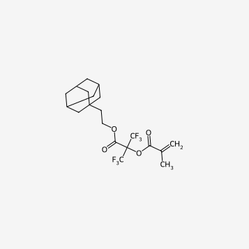 C=C(C)C(=O)OC(C(=O)OCCC12CC3CC(CC(C3)C1)C2)(C(F)(F)F)C(F)(F)F